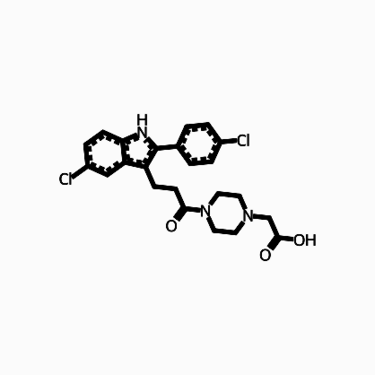 O=C(O)CN1CCN(C(=O)CCc2c(-c3ccc(Cl)cc3)[nH]c3ccc(Cl)cc23)CC1